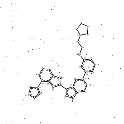 c1cc2[nH]c(-c3n[nH]c4cnc(-c5cncc(OCCN6CCCC6)c5)cc34)nc2c(-c2ccsc2)n1